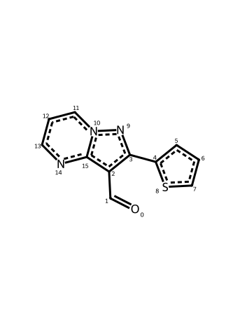 O=Cc1c(-c2cccs2)nn2cccnc12